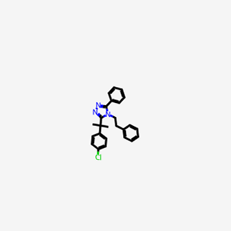 CC(C)(c1ccc(Cl)cc1)c1nnc(-c2ccccc2)n1CCc1ccccc1